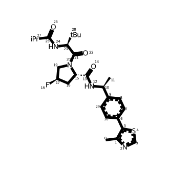 Cc1ncsc1-c1ccc([C@H](C)NC(=O)[C@@H]2C[C@@H](F)CN2C(=O)[C@@H](NC(=O)C(C)C)C(C)(C)C)cc1